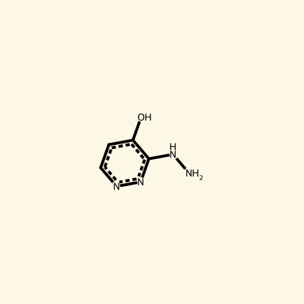 NNc1nnccc1O